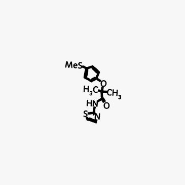 CSc1ccc(OC(C)(C)C(=O)Nc2nccs2)cc1